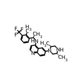 Cc1c([C@@H](C)Nc2ccnc3ccc(N4C[C@@H](C)NC[C@@H]4C)cc23)cccc1C(F)(F)F